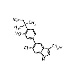 CC(C)(CO)c1ccc(-c2cc3c(C(=O)O)c[nH]c3cc2Cl)cc1O